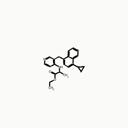 CCOC(=O)C(C)Nc1ccncc1Cc1ccc(C2CC2)c2ccccc12